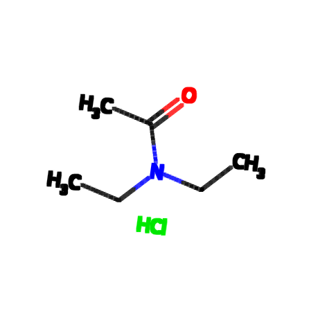 CCN(CC)C(C)=O.Cl